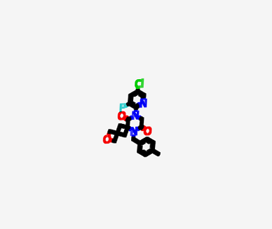 Cc1ccc(CN2C(=O)CN(c3ncc(Cl)cc3F)C(=O)C23CC2(COC2)C3)cc1